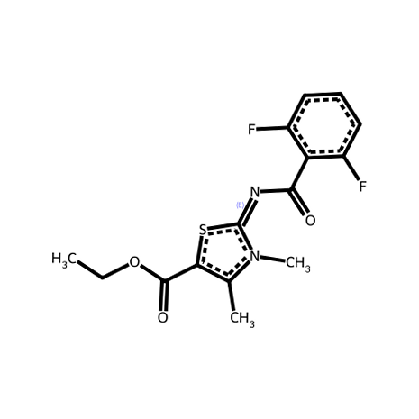 CCOC(=O)c1s/c(=N/C(=O)c2c(F)cccc2F)n(C)c1C